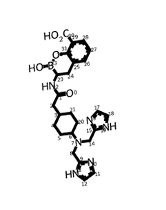 O=C(CC1CCC(N(Cc2ncc[nH]2)Cc2ncc[nH]2)CC1)NC1Cc2cccc(C(=O)O)c2OB1O